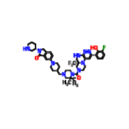 CC1(C)CN(CC2CCN(c3ccc4c(c3)C(=O)N([C@H]3CCCNC3)C4)CC2)CCN1C(=O)N1CCN2c3cc(-c4cccc(F)c4O)nnc3NCC2(C(F)(F)F)C1